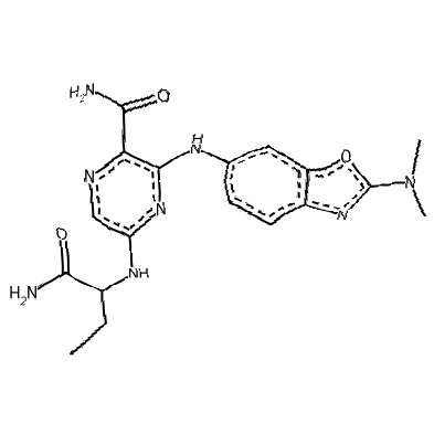 CCC(Nc1cnc(C(N)=O)c(Nc2ccc3nc(N(C)C)oc3c2)n1)C(N)=O